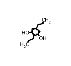 C=CCc1cc(O)c(CC=C)c(O)c1